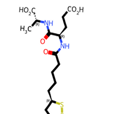 C[C@@H](NC(=O)[C@@H](CCC(=O)O)NC(=O)CCCC[C@@H]1CCSS1)C(=O)O